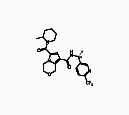 CC1CCCCN1C(=O)c1cc(C(=O)N[C@H](C)c2ccc(C(F)(F)F)nc2)c2n1CCOC2